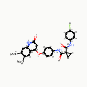 COc1cc2[nH]c(=O)cc(Oc3ccc(NC(=O)C4(C(=O)Nc5ccc(F)cc5)CC4)cc3)c2cc1OC